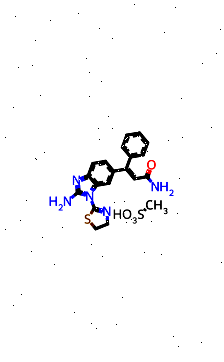 CS(=O)(=O)O.NC(=O)C=C(c1ccccc1)c1ccc2nc(N)n(C3=NCCS3)c2c1